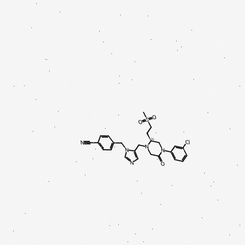 CS(=O)(=O)CC[C@H]1CN(c2cccc(Cl)c2)C(=O)CN1Cc1cncn1Cc1ccc(C#N)cc1